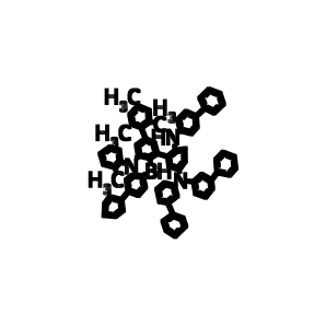 Cc1cc(C)c(-c2cc(-c3cc(N(c4cccc(-c5ccccc5)c4)c4cccc(-c5ccccc5)c4)ccc3Nc3ccc(-c4ccccc4)cc3)c3c(c2)N(c2ccccc2C)c2cc(-c4ccccc4)ccc2B3)c(C)c1